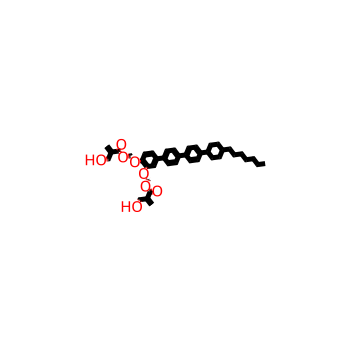 C=C(CO)C(=O)OCOc1ccc(-c2ccc(-c3ccc(C4CCC(CCCCCCC)CC4)cc3)cc2)cc1OCOC(=O)C(=C)CO